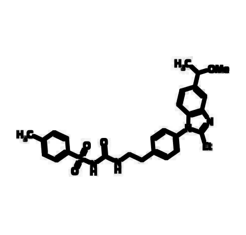 CCc1nc2cc(C(C)OC)ccc2n1-c1ccc(CCNC(=O)NS(=O)(=O)c2ccc(C)cc2)cc1